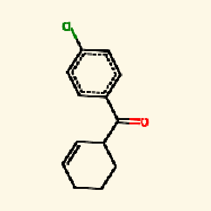 O=C(c1ccc(Cl)cc1)C1C=CCCC1